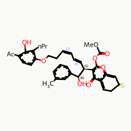 CCCc1c(OCC/C=C\C=C\[C@@H](c2c(OC(=O)OC)oc3c(c2=O)=CCC(=S)C=3)[C@@H](O)c2cccc(C)c2)ccc(C(C)=O)c1O